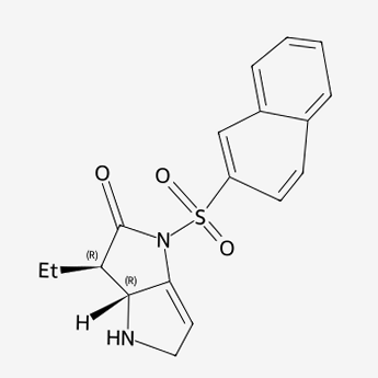 CC[C@H]1C(=O)N(S(=O)(=O)c2ccc3ccccc3c2)C2=CCN[C@@H]21